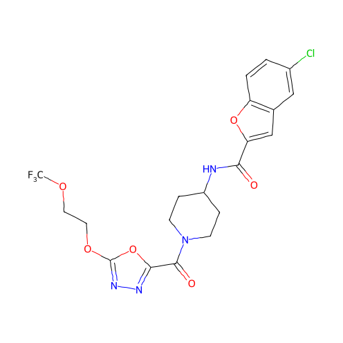 O=C(NC1CCN(C(=O)c2nnc(OCCOC(F)(F)F)o2)CC1)c1cc2cc(Cl)ccc2o1